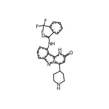 O=C(Nc1cccc2nn3c(C4CCNCC4)cc(=O)[nH]c3c12)c1ccccc1C(F)(F)F